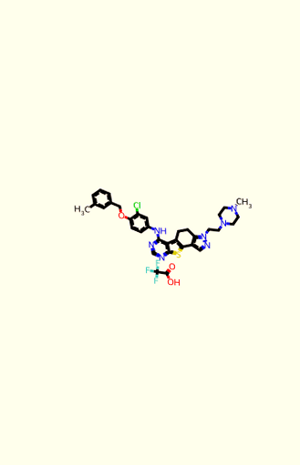 Cc1cccc(COc2ccc(Nc3ncnc4sc5c(c34)CCc3c-5cnn3CCN3CCN(C)CC3)cc2Cl)c1.O=C(O)C(F)(F)F